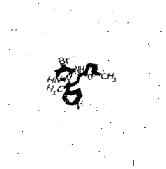 Cc1ccc(C2CC(C)(c3ccc(F)cc3)N3NC=C(Br)C3N2)o1